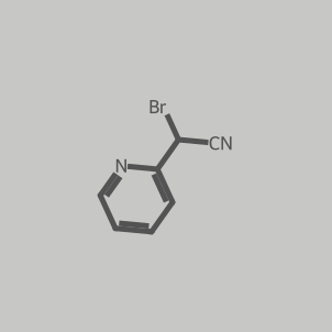 N#CC(Br)c1ccccn1